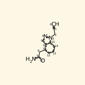 C#CCn1ncc2c(CC(N)=O)cccc21